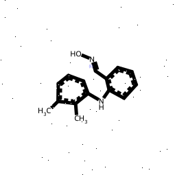 Cc1cccc(Nc2ccccc2/C=N/O)c1C